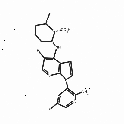 CC1CCCC(Nc2c(F)cnc3c2ccn3-c2cc(F)cnc2N)[C@H]1C(=O)O